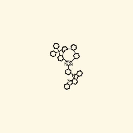 c1ccc(C2(c3ccccc3)c3ccc4cc3-c3c(cccc32)-c2nc(nc(-c3cccc(-n5c6ccccc6c6ccc7c8ccccc8sc7c65)c3)n2)-c2cccc(c2)-c2ccccc2-4)cc1